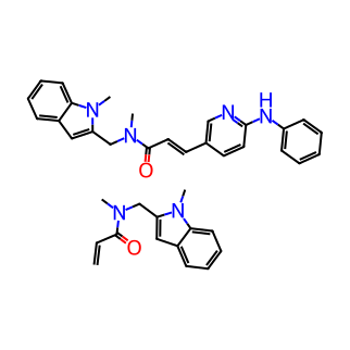 C=CC(=O)N(C)Cc1cc2ccccc2n1C.CN(Cc1cc2ccccc2n1C)C(=O)C=Cc1ccc(Nc2ccccc2)nc1